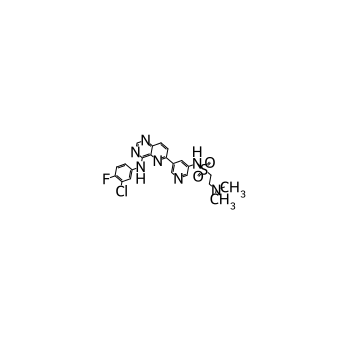 CN(C)CCS(=O)(=O)Nc1cncc(-c2ccc3ncnc(Nc4ccc(F)c(Cl)c4)c3n2)c1